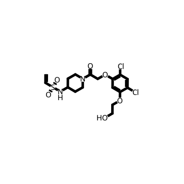 C=CS(=O)(=O)NC1CCN(C(=O)COc2cc(OCCO)c(Cl)cc2Cl)CC1